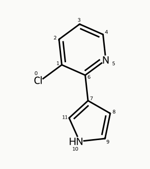 Clc1cccnc1-c1cc[nH]c1